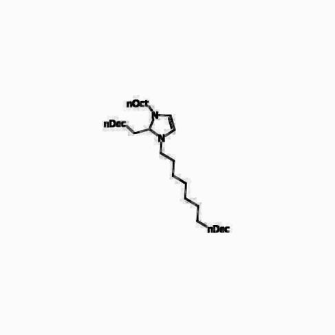 CCCCCCCCCCCCCCCCCN1C=CN(CCCCCCCC)C1CCCCCCCCCCC